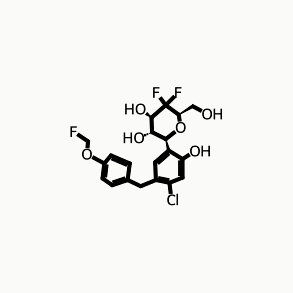 OC[C@H]1O[C@@H](c2cc(Cc3ccc(OCF)cc3)c(Cl)cc2O)[C@H](O)[C@@H](O)C1(F)F